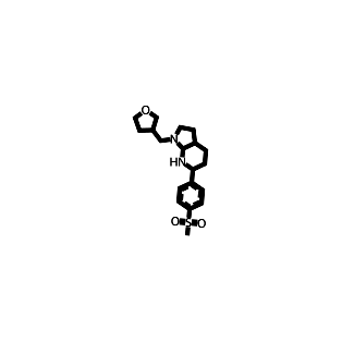 CS(=O)(=O)c1ccc(C2CCC3CCN(CC4CCOC4)C3N2)cc1